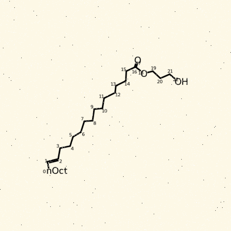 CCCCCCCCC=CCCCCCCCCCCCCCC(=O)OCCCO